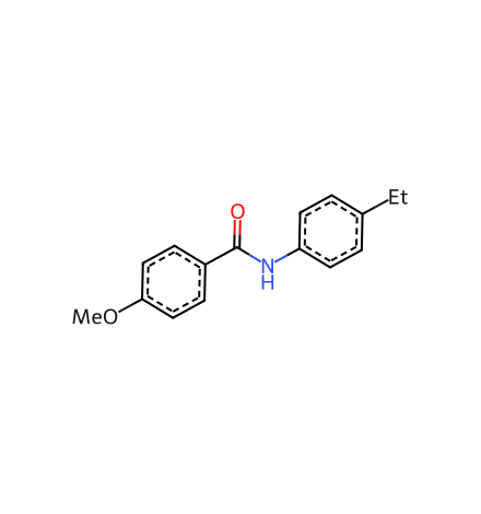 CCc1ccc(NC(=O)c2ccc(OC)cc2)cc1